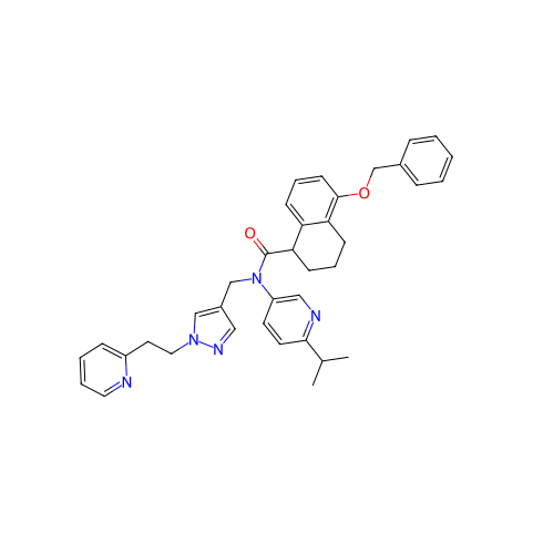 CC(C)c1ccc(N(Cc2cnn(CCc3ccccn3)c2)C(=O)C2CCCc3c(OCc4ccccc4)cccc32)cn1